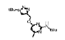 Cc1cc(OCc2cn(C(C)(C)C)nn2)nc(NC(C)(C)C)n1